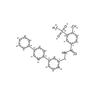 Cc1ccc(C(=O)NCc2cc(-c3ccc(-c4ccccc4)cn3)ccn2)cc1S(C)(=O)=O